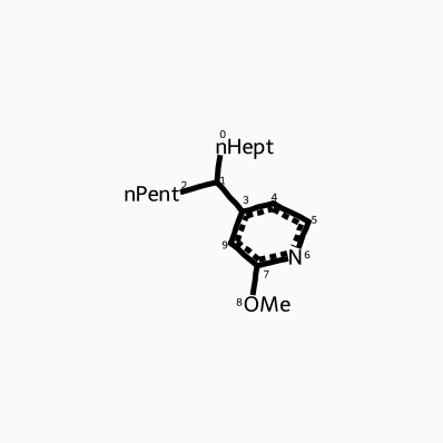 CCCCCCCC(CCCCC)c1ccnc(OC)c1